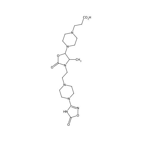 CC1C(N2CCN(CCC(=O)O)CC2)OC(=O)N1CCN1CCN(c2noc(=O)[nH]2)CC1